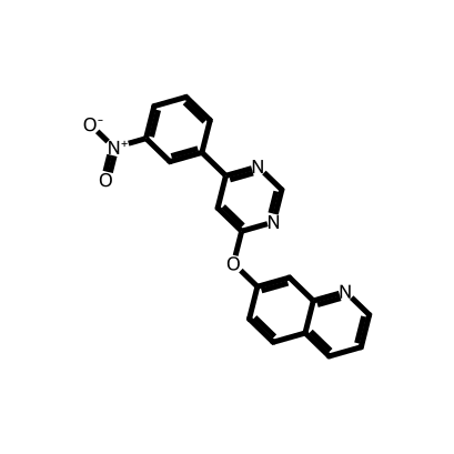 O=[N+]([O-])c1cccc(-c2cc(Oc3ccc4cccnc4c3)ncn2)c1